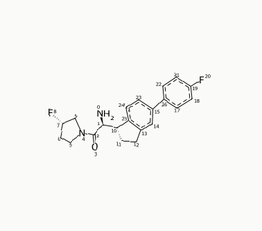 N[C@H](C(=O)N1CC[C@H](F)C1)[C@H]1CCc2cc(-c3ccc(F)cc3)ccc21